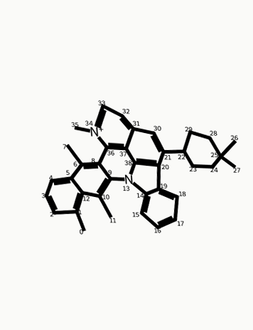 Cc1cccc2c(C)c3c(c(C)c12)n1c2ccccc2c2c(C4CCC(C)(C)CC4)cc4cc[n+](C)c3c4c21